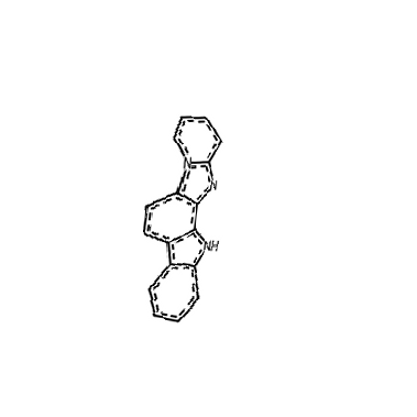 c1ccc2c(c1)[nH]c1c2ccc2c1nc1ccccn12